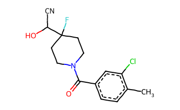 Cc1ccc(C(=O)N2CCC(F)(C(O)C#N)CC2)cc1Cl